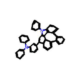 c1ccc(N(c2ccccc2)c2cccc(-c3cc4c5c6c(cccc36)-c3ccccc3-c3cccc(c35)n4-c3ccccc3)c2)cc1